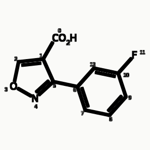 O=C(O)c1conc1-c1cccc(F)c1